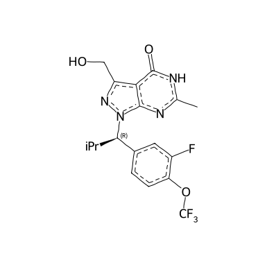 Cc1nc2c(c(CO)nn2[C@@H](c2ccc(OC(F)(F)F)c(F)c2)C(C)C)c(=O)[nH]1